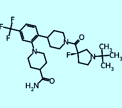 CC(C)(C)N1CC[C@](F)(C(=O)N2CCC(c3ccc(C(F)(F)F)cc3N3CCC(C(N)=O)CC3)CC2)C1